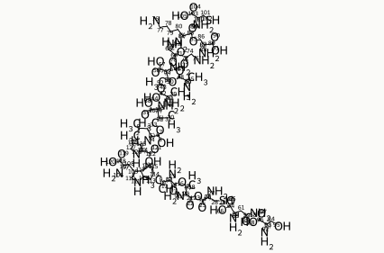 CC(C)C[C@H](N)C(=O)O.CC(C)[C@H](N)C(=O)O[C@H](C)[C@H](N)C(=O)OC(=O)[C@@H](N)CS.CC[C@H](C)[C@H](N)C(=O)O.C[C@H](N)C(=O)O.C[C@H](N)C(=O)O[C@H](C)[C@H](N)C(=O)O.NC(=O)C[C@H](N)C(=O)O.NCC(=O)OC(=O)CN.NCCCC[C@H](N)C(=O)OC[C@H](N)C(=O)O.N[C@@H](CO)C(=O)O.N[C@@H](CS)C(=O)O.N[C@@H](Cc1c[nH]c2ccccc12)C(=O)O.O=C(O)[C@@H]1CCCN1